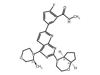 CNC(=O)c1cc(-c2ccc3c(N4CCOC[C@@H]4C)nc(N4CCO[C@@H]5CCC[C@@H]54)nc3n2)ccc1F